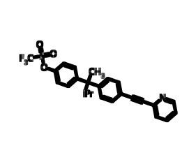 CC(C)C(C)(c1ccc(C#Cc2ccccn2)cc1)c1ccc(OS(=O)(=O)C(F)(F)F)cc1